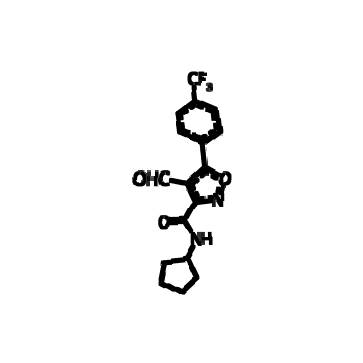 O=Cc1c(C(=O)NC2CCCC2)noc1-c1ccc(C(F)(F)F)cc1